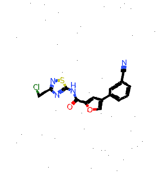 N#Cc1cccc(-c2coc(C(=O)Nc3nc(CCl)ns3)c2)c1